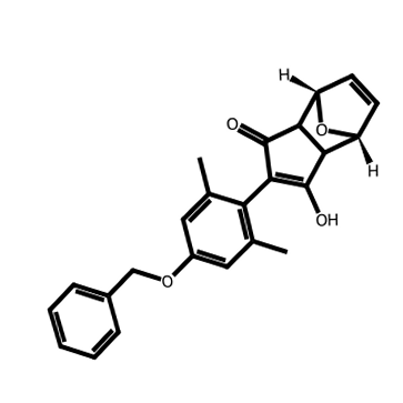 Cc1cc(OCc2ccccc2)cc(C)c1C1=C(O)C2C(C1=O)[C@@H]1C=C[C@H]2O1